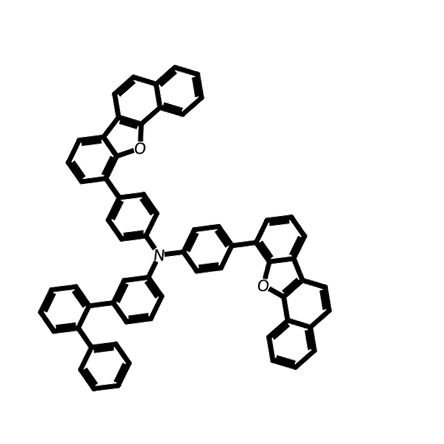 c1ccc(-c2ccccc2-c2cccc(N(c3ccc(-c4cccc5c4oc4c6ccccc6ccc54)cc3)c3ccc(-c4cccc5c4oc4c6ccccc6ccc54)cc3)c2)cc1